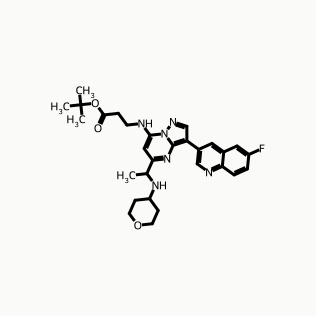 CC(NC1CCOCC1)c1cc(NCCC(=O)OC(C)(C)C)n2ncc(-c3cnc4ccc(F)cc4c3)c2n1